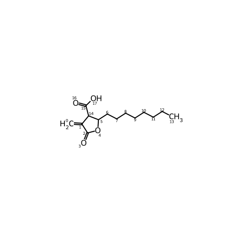 C=C1C(=O)OC(CCCCCCCC)C1C(=O)O